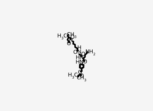 CC(C)C(=O)OCc1ccc(NC(=O)C(CCCN)NC(=O)CNC(=O)CCCCCN2C(=O)CC(C(C)C)C2=O)cc1